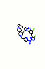 CN1CCC2(CC1)CCN(Cc1ccc(Nc3ncc(F)c(-c4cc(F)c5nc6n(c5c4)[C@H](C(F)(F)F)CC6)n3)nc1)CC2